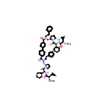 CN[C@H](C(=O)N[C@H](C(=O)N1CCC[C@H]1CN(CCc1ccccc1)C(=O)c1ccc(-c2ccc(C(=O)N(CCc3ccccc3)C[C@@H]3CCCN3C(=O)[C@@H](NC(=O)[C@@H](NC)C3CC3)C3CCCCC3)cc2)cc1)C1CCCCC1)C1CC1